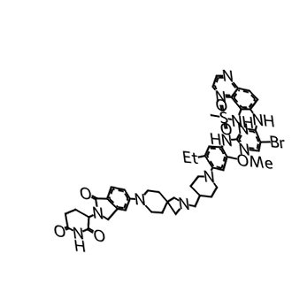 CCc1cc(Nc2ncc(Br)c(Nc3ccc4nccnc4c3NS(C)(=O)=O)n2)c(OC)cc1N1CCC(CN2CC3(CCN(c4ccc5c(c4)CN(C4CCC(=O)NC4=O)C5=O)CC3)C2)CC1